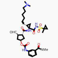 CNC(=O)c1cccc(NC(=O)O[C@H]2C[C@@H](C=O)[C@H](C(=O)N[C@]3(C(=O)NS(=O)(=O)C4(C)CC4)C[C@H]3/C=C\CCCCN(C)C)C2)c1